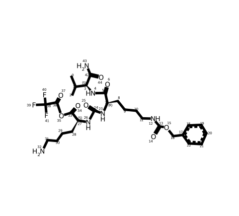 CC(C)[C@H](NC(=O)[C@@H](CCCCNC(=O)OCc1ccccc1)NC(=O)N[C@@H](CCCCN)C(=O)OC(=O)C(F)(F)F)C(N)=O